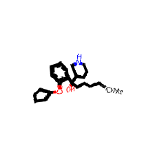 COCCCCC(O)(c1ccccc1OC1CCCC1)C1CCCNC1